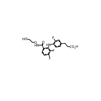 O=C(O)CCc1ccc(Nc2c(C(=O)NOCCO)ccc(F)c2F)c(F)c1